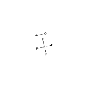 CC(=O)[O-].F[N+](F)(F)F